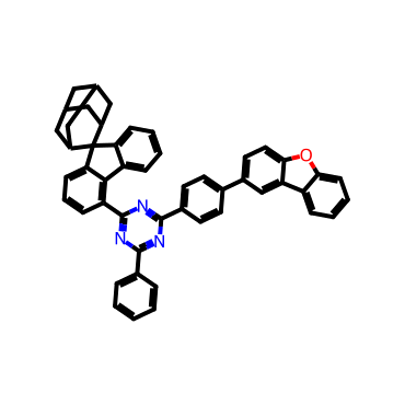 c1ccc(-c2nc(-c3ccc(-c4ccc5oc6ccccc6c5c4)cc3)nc(-c3cccc4c3-c3ccccc3C43C4CC5CC(C4)CC3C5)n2)cc1